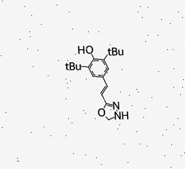 CC(C)(C)c1cc(C=CC2=NNCO2)cc(C(C)(C)C)c1O